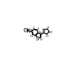 [C-]#[N+]c1ccc2c(C3CCCC3)csc2c1